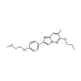 CCCOc1nn2cc(-c3ccc(OCCOC)cc3)nc2cc1C